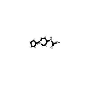 CC(C)C(=O)NC1CCN(C2CCCC2)CC1